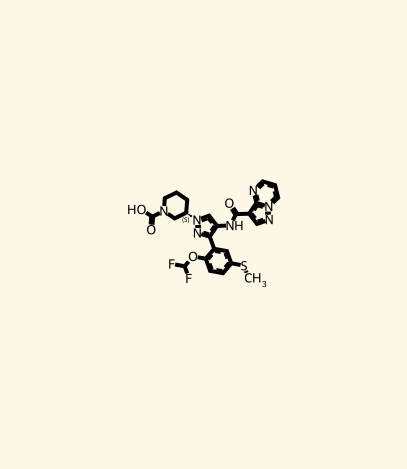 CSc1ccc(OC(F)F)c(-c2nn([C@H]3CCCN(C(=O)O)C3)cc2NC(=O)c2cnn3cccnc23)c1